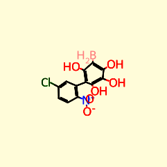 Bc1c(O)c(O)c(O)c(-c2cc(Cl)ccc2[N+](=O)[O-])c1O